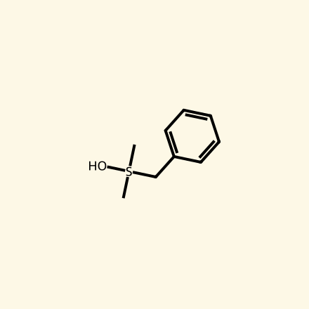 CS(C)(O)Cc1ccccc1